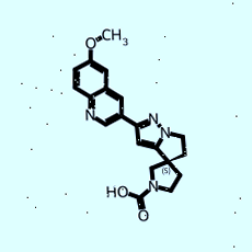 COc1ccc2ncc(-c3cc4n(n3)CC[C@]43CCN(C(=O)O)C3)cc2c1